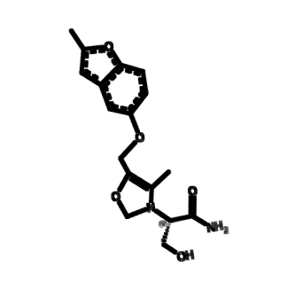 CC1=C(COc2ccc3oc(C)cc3c2)OCN1[C@@H](CO)C(N)=O